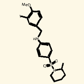 COc1ccc(CNc2ccc(S(=O)(=O)N3CCCCC3C)cc2)cc1I